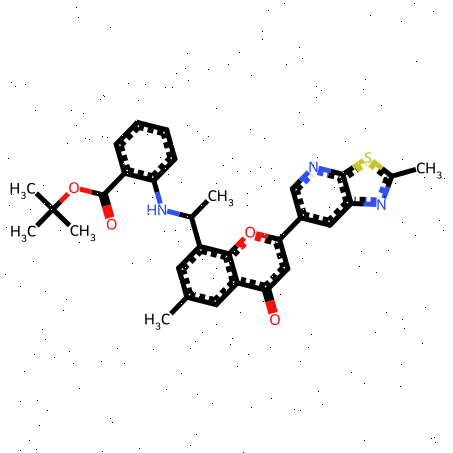 Cc1cc(C(C)Nc2ccccc2C(=O)OC(C)(C)C)c2oc(-c3cnc4sc(C)nc4c3)cc(=O)c2c1